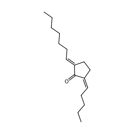 CCCCC=C1CCC(=CCCCCCC)C1=O